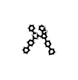 c1ccc(-c2ccc(-c3cc(-c4nc(-c5ccccc5)nc(-c5ccc(-c6ccccc6)cc5)n4)c4c(c3)oc3ncccc34)cc2)cc1